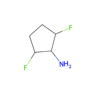 NC1C(F)CCC1F